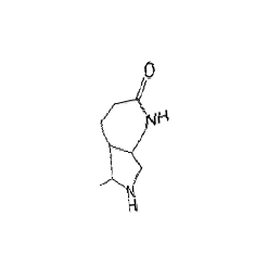 CC1NCC2NC(=O)CCC12